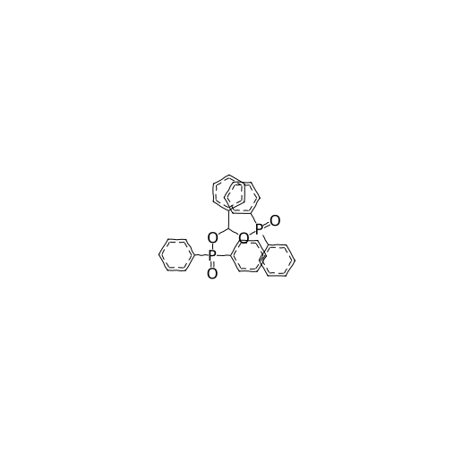 O=P(OC(OP(=O)(c1ccccc1)c1ccccc1)c1ccccc1)(c1ccccc1)c1ccccc1